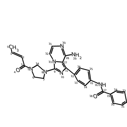 C/C=C/C(=O)N1CCN(c2nc(-c3ccc(NC(=O)c4ccccc4)cc3)c3c(N)nccn23)C1